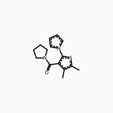 Cc1sc(-n2cccc2)c(C(=O)N2CCCC2)c1C